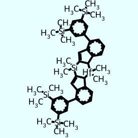 C[Si]1(C)C2=Cc3c(-c4cc([Si](C)(C)C)cc([Si](C)(C)C)c4)cccc3[CH]2[Hf]([CH3])([CH3])[CH]2C1=Cc1c(-c3cc([Si](C)(C)C)cc([Si](C)(C)C)c3)cccc12